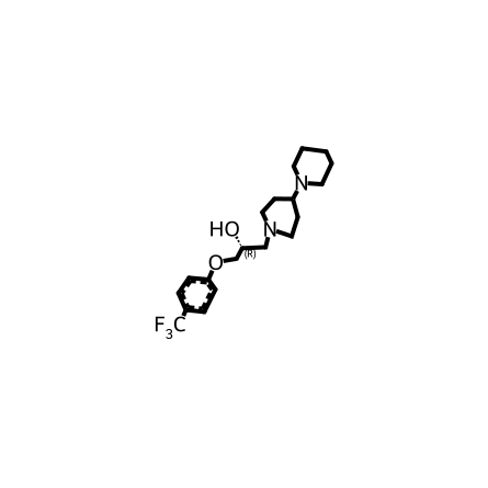 O[C@@H](COc1ccc(C(F)(F)F)cc1)CN1CCC(N2CCCCC2)CC1